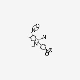 CCn1c(-c2ccc([N+](=O)[O-])cc2)c(C#N)c2cc(CN3CCOCC3)c(C)cc21